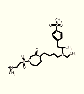 CCN(CCCCN1CCCN(S(=O)(=O)CCNC)CC1=O)C(C)Cc1ccc(S(C)(=O)=O)cc1